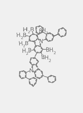 Bc1c(B)c(B)c2c(c1B)c1c(B)c(-c3ccc4c(c3)c3cc(-c5ccccc5)ccc3n4-c3ccccc3-c3ccccc3)c(B)c(B)c1n2-c1ccc(-c2ccccc2)cc1-c1ccccc1